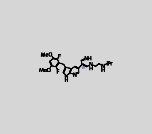 COc1cc(OC)c(F)c(Cc2c[nH]c3ncc(/C(C=N)=C/NCCNC(C)C)cc23)c1F